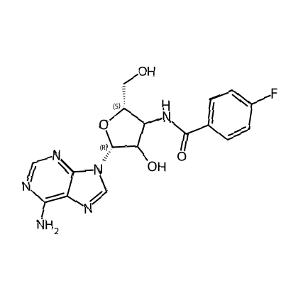 Nc1ncnc2c1ncn2[C@@H]1O[C@H](CO)C(NC(=O)c2ccc(F)cc2)C1O